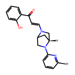 CC(C)c1cccc(N2CC3C[C@@H]2CN3/C=C/C(=O)c2ccccc2O)n1